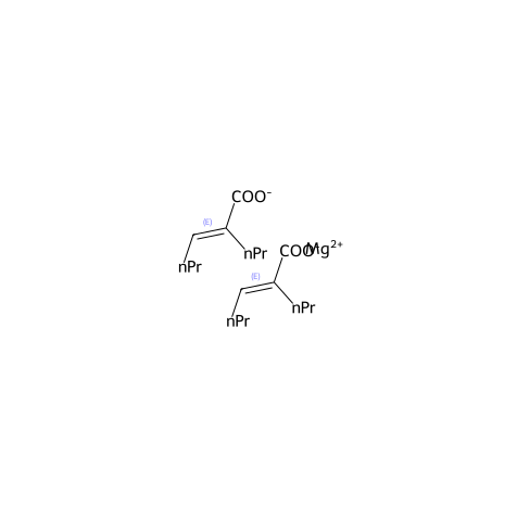 CCC/C=C(\CCC)C(=O)[O-].CCC/C=C(\CCC)C(=O)[O-].[Mg+2]